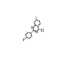 [CH2]c1ccc2c(Cl)nc(-c3ccc(F)cc3)nc2c1